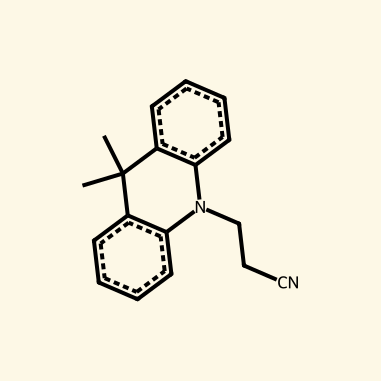 CC1(C)c2ccccc2N(CCC#N)c2ccccc21